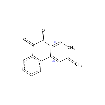 C=C/C=C1\C(=C/C)C(=O)C(=O)c2ccccc21